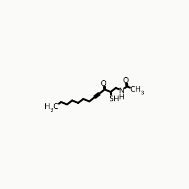 CCCCCCCC#CC(=O)C(S)CNC(C)=O